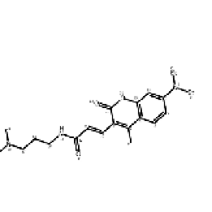 CCN(CC)c1ccc2c(C)c(/C=C/C(=O)NCCCN(C)C)c(=O)oc2c1